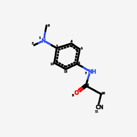 CN(C)c1ccc(NC(=O)CC#N)cc1